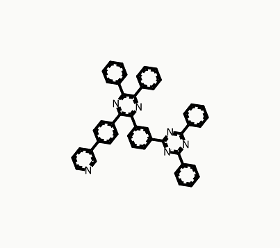 c1ccc(-c2nc(-c3ccccc3)nc(-c3cccc(-c4nc(-c5ccccc5)c(-c5ccccc5)nc4-c4ccc(-c5cccnc5)cc4)c3)n2)cc1